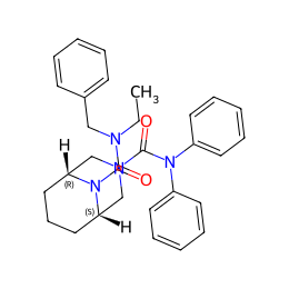 CCN(Cc1ccccc1)C(=O)N1[C@@H]2CCC[C@H]1CN(C(=O)N(c1ccccc1)c1ccccc1)C2